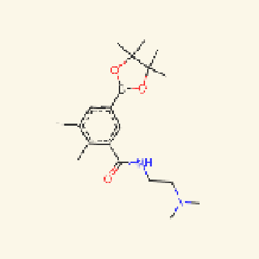 Cc1cc(B2OC(C)(C)C(C)(C)O2)cc(C(=O)NCCN(C)C)c1C